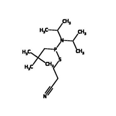 CC(C)N(C(C)C)P(CC(C)(C)C)SCCC#N